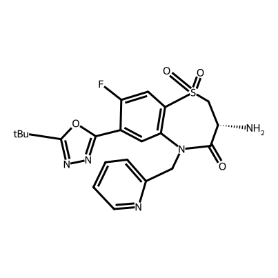 CC(C)(C)c1nnc(-c2cc3c(cc2F)S(=O)(=O)C[C@H](N)C(=O)N3Cc2ccccn2)o1